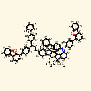 CC1(C)c2cc(CCC(c3ccc(-c4ccccc4)cc3)c3ccc(-c4cccc5c4oc4ccccc45)cc3)ccc2-c2cc3c(cc21)-c1c(N(c2ccc(-c4ccccc4)cc2)c2ccc(-c4cccc5c4oc4ccccc45)cc2)cccc1C3(C)C